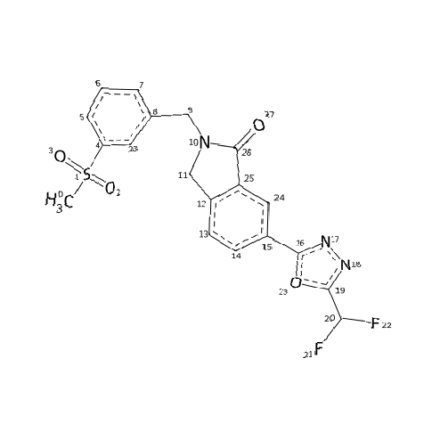 CS(=O)(=O)c1cccc(CN2Cc3ccc(-c4nnc(C(F)F)o4)cc3C2=O)c1